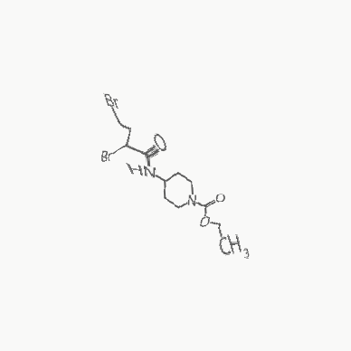 CCOC(=O)N1CCC(NC(=O)C(Br)CCBr)CC1